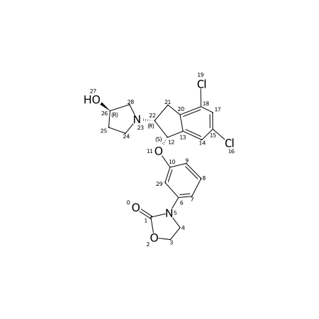 O=C1OCCN1c1cccc(O[C@H]2c3cc(Cl)cc(Cl)c3C[C@H]2N2CC[C@@H](O)C2)c1